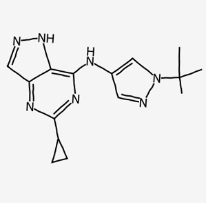 CC(C)(C)n1cc(Nc2nc(C3CC3)nc3cn[nH]c23)cn1